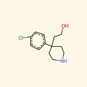 OCCC1(c2ccc(Cl)cc2)CCNCC1